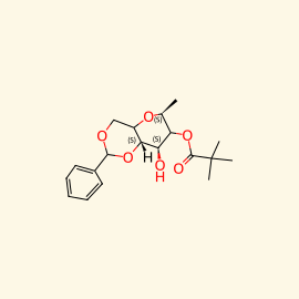 C[C@@H]1OC2COC(c3ccccc3)O[C@H]2[C@H](O)C1OC(=O)C(C)(C)C